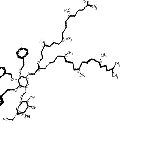 CC(C)CCC[C@@H](C)CCC[C@H](C)CCC[C@H](C)CCOC[C@@H](CO[C@H]1O[C@H](CO[C@@H]2O[C@H](CO)[C@@H](O)[C@H](O)[C@H]2O)[C@@H](OCc2ccccc2)[C@H](OCc2ccccc2)[C@H]1OCc1ccccc1)OCC[C@@H](C)CCC[C@@H](C)CCC[C@H](C)CCCC(C)C